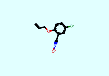 C=CCOc1ccc(Br)cc1C#[N+][O-]